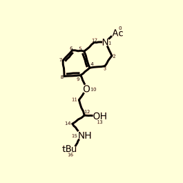 CC(=O)N1CCc2c(cccc2OCC(O)CNC(C)(C)C)C1